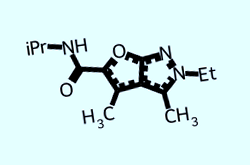 CCn1nc2oc(C(=O)NC(C)C)c(C)c2c1C